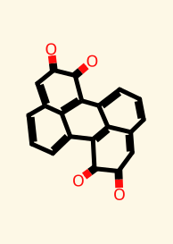 O=c1cc2cccc3c4c(=O)c(=O)cc5cccc(c(c1=O)c23)c54